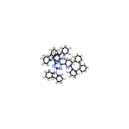 c1ccc2c(c1)-c1ccccc1-c1cc(-n3c4ccccc4c4ccccc43)c(-c3nc(-n4c5ccccc5c5ccccc54)nc(-n4c5ccccc5c5ccccc54)n3)nc1-c1ccccc1-2